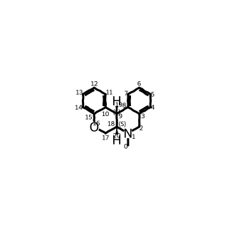 CN1Cc2ccccc2[C@H]2c3ccccc3OC[C@H]21